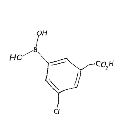 O=C(O)c1cc(Cl)cc(B(O)O)c1